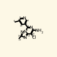 Cc1cncc(-c2nc(N)c(Cl)c3nc(C)nn23)c1